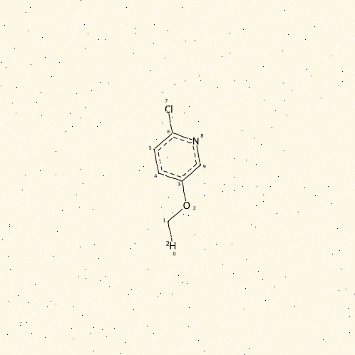 [2H]COc1ccc(Cl)nc1